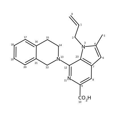 C=CCn1c(C)cc2cc(C(=O)O)nc(N3CCc4ccccc4C3)c21